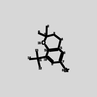 CC1(C)CCc2cc(Br)cc(C(C)(C)C)c2O1